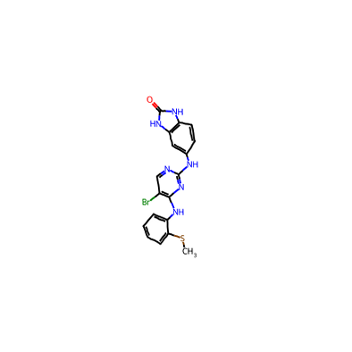 CSc1ccccc1Nc1nc(Nc2ccc3[nH]c(=O)[nH]c3c2)ncc1Br